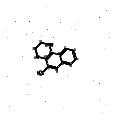 Cc1nc2ccccc2c2c1OCCN2